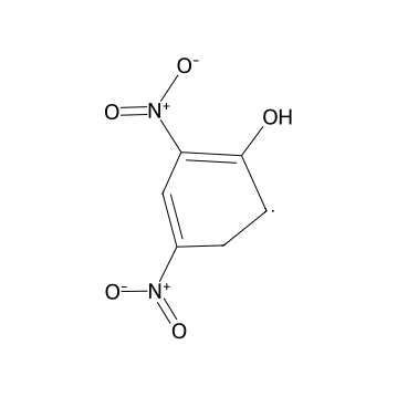 O=[N+]([O-])C1=CC([N+](=O)[O-])=C(O)[CH]C1